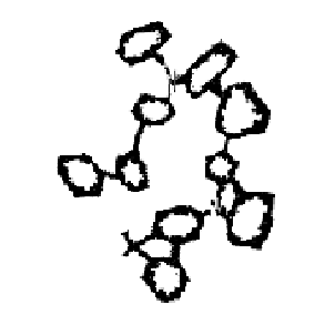 CC1(C)c2ccccc2-c2cc(-n3c4ccccc4c4cc(-c5cccc(-c6cccc(N(c7ccccc7)c7ccc(-c8cccc(-c9ccccc9)c8)cc7)c6)c5)ccc43)ccc21